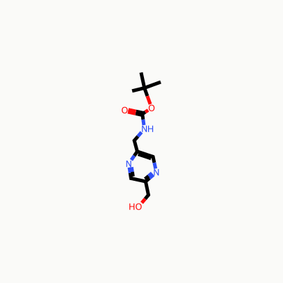 CC(C)(C)OC(=O)NCc1cnc(CO)cn1